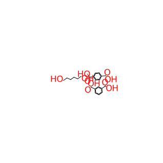 O=C(O)c1ccc(C(=O)O)cc1.O=C(O)c1cccc(C(=O)O)c1.OCCCCCCO